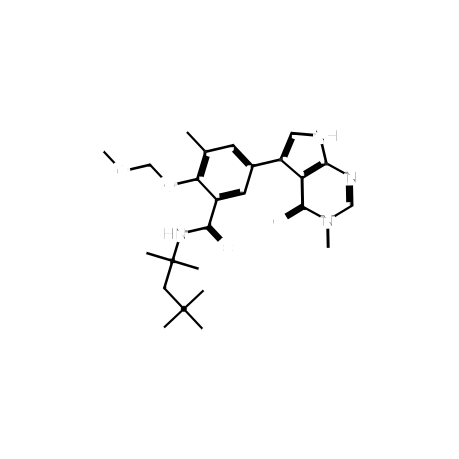 COCOc1c(C)cc(-c2c[nH]c3ncn(C)c(=O)c23)cc1C(=O)NC(C)(C)CC(C)(C)C